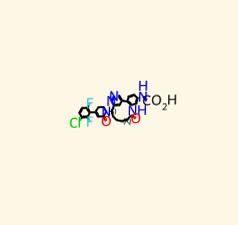 C[C@@H]1CCC[C@H](N2CCC(c3c(F)ccc(Cl)c3F)=CC2=O)c2cc(cnn2)-c2ccc(NC(=O)O)cc2NC1=O